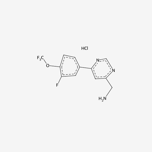 Cl.NCc1cc(-c2ccc(OC(F)(F)F)c(F)c2)ncn1